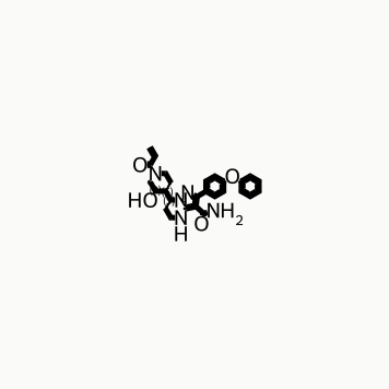 C=CC(=O)N1CC[C@@H]([C@@H]2CCNc3c(C(N)=O)c(-c4ccc(Oc5ccccc5)cc4)nn32)[C@@H](O)C1